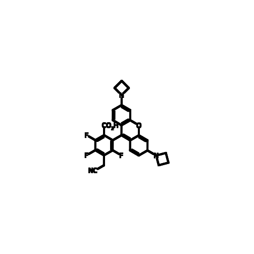 N#CCc1c(F)c(F)c(C(=O)O)c(C2=C3C=CC(N4CCC4)C=C3Oc3cc(N4CCC4)ccc32)c1F